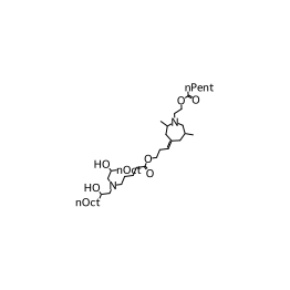 CCCCCCCCC(O)CN(CCCCC(=O)OCC/C=C1/CC(C)CN(CCOC(=O)CCCCC)C(C)C1)CC(O)CCCCCCCC